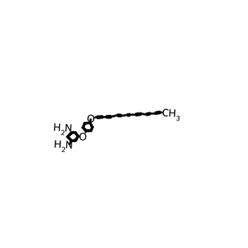 CC#CC#CC#CC#CC#CC#CC#COc1ccc(Oc2cc(N)cc(N)c2)cc1